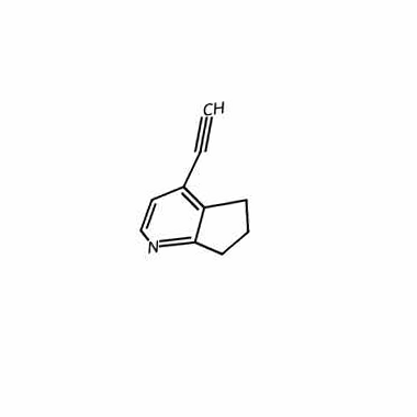 C#Cc1ccnc2c1CCC2